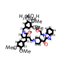 CCOCCn1c(C(=O)C2CCN(CCC3(Cc4ccc(OC)c(OC)c4)CCN(Cc4cc(OC)c(OC)c(OC)c4)C3=O)CC2)nc2ccccc21.CS(=O)(=O)O